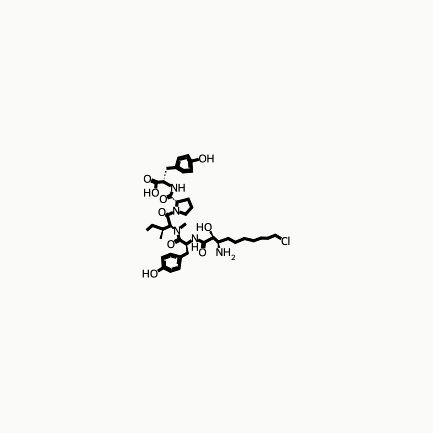 CC[C@H](C)[C@@H](C(=O)N1CCC[C@H]1C(=O)N[C@@H](Cc1ccc(O)cc1)C(=O)O)N(C)C(=O)[C@H](Cc1ccc(O)cc1)NC(=O)[C@@H](O)[C@H](N)CCCCCCCCl